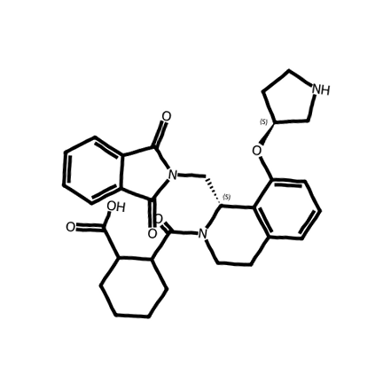 O=C(O)C1CCCCC1C(=O)N1CCc2cccc(O[C@H]3CCNC3)c2[C@H]1CN1C(=O)c2ccccc2C1=O